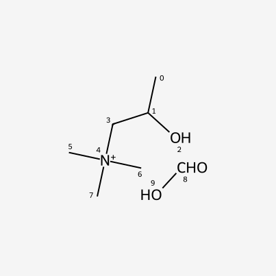 CC(O)C[N+](C)(C)C.O=CO